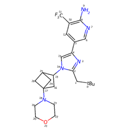 CC(C)(C)Cc1nc(-c2cnc(N)c(C(F)(F)F)c2)cn1C1CC2(N3CCOCC3)CC1C2